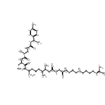 NCC(NC(=O)C(O)CNC(=O)CC(N)c1ccc(O)cc1)C(=O)NC(CCCC(N)C(O)CC(=O)NCC(=O)NCCCNCCCCN=C(N)N)C(=O)O